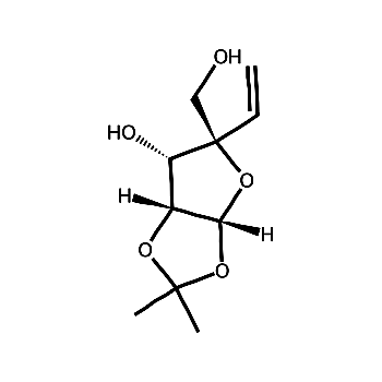 C=C[C@]1(CO)O[C@@H]2OC(C)(C)O[C@@H]2[C@@H]1O